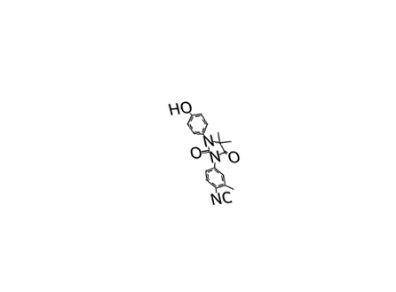 [C-]#[N+]c1ccc(N2C(=O)N(c3ccc(O)cc3)C(C)(C)C2=O)cc1C